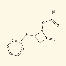 CCC(=O)ON1C(=O)CC1Sc1ccccc1